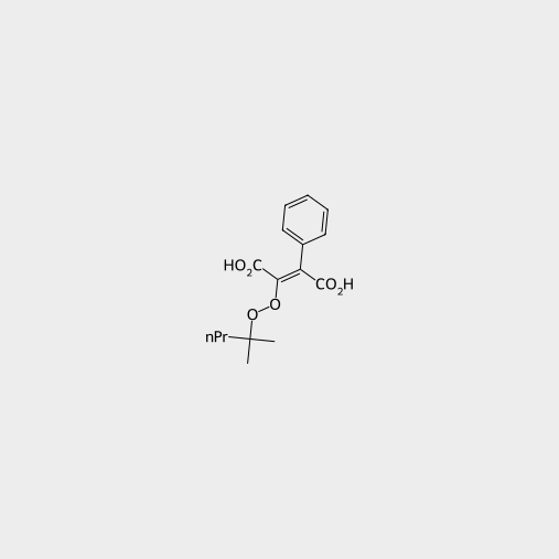 CCCC(C)(C)OO/C(C(=O)O)=C(\C(=O)O)c1ccccc1